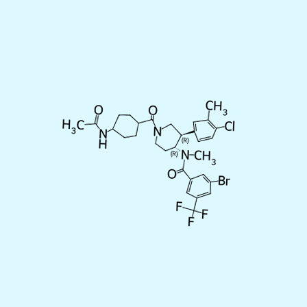 CC(=O)NC1CCC(C(=O)N2CC[C@@H](N(C)C(=O)c3cc(Br)cc(C(F)(F)F)c3)[C@H](c3ccc(Cl)c(C)c3)C2)CC1